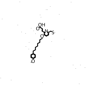 COc1ccc(CCCCCCCCOc2ccc(C[S])nc2C=CC(=O)O)cc1